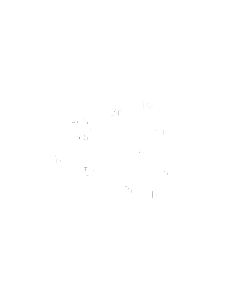 O=C(O)c1c(C(Br)(Br)Br)cc(C(Br)(Br)Br)cc1C(Br)(Br)Br